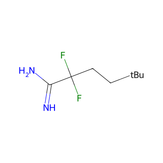 CC(C)(C)CCC(F)(F)C(=N)N